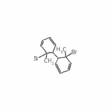 CC1(Br)C=CC=CC1C1C=CC=CC1(C)Br